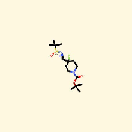 CC(C)(C)OC(=O)N1CCC(F)(/C=N/[S@@+]([O-])C(C)(C)C)CC1